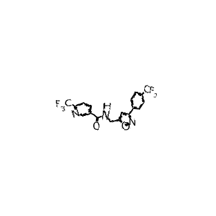 O=C(NCc1cc(-c2ccc(C(F)(F)F)cc2)no1)c1ccc(C(F)(F)F)nc1